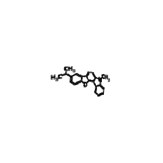 CC(C)c1ccc2oc3c(ccc4c3c3ccccc3n4C)c2c1